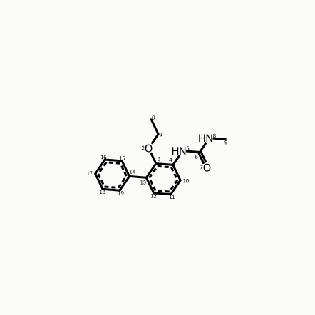 CCOc1c(NC(=O)NC)cccc1-c1ccccc1